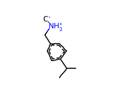 [CH2-][NH2+]Cc1ccc(C(C)C)cc1